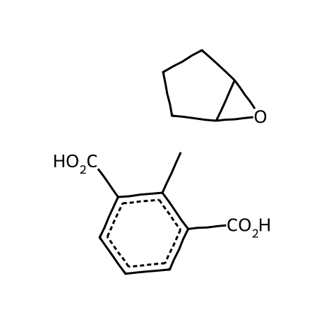 C1CC2OC2C1.Cc1c(C(=O)O)cccc1C(=O)O